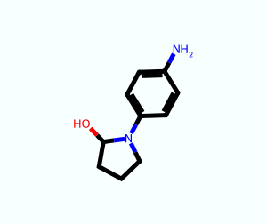 Nc1ccc(N2CCCC2O)cc1